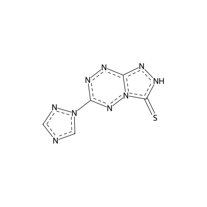 S=c1[nH]nc2nnc(-n3cncn3)nn12